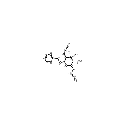 CC(=O)OC1C(CN=[N+]=[N-])OC(OCc2ccccc2)C(N=[N+]=[N-])C1(F)F